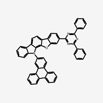 c1ccc(-c2nc(-c3ccccc3)nc(-c3ccc4c(c3)oc3c4ccc4c5ccccc5n(-c5ccc6c7ccccc7c7ccccc7c6c5)c43)n2)cc1